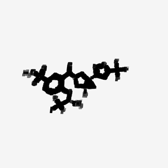 C[C@@H](Oc1ccc(S(C)(=O)=O)cc1C(=O)N1C[C@@H]2C[C@]2(c2cc(C(F)(F)F)on2)C1)C(F)(F)F